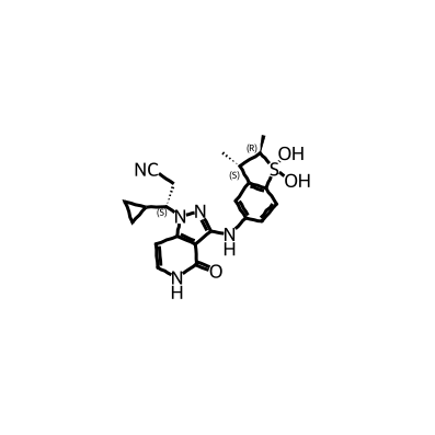 C[C@@H]1[C@@H](C)c2cc(Nc3nn([C@@H](CC#N)C4CC4)c4cc[nH]c(=O)c34)ccc2S1(O)O